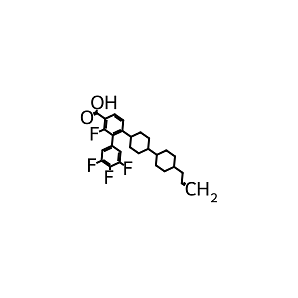 C=CCC1CCC(C2CCC(c3ccc(C(=O)O)c(F)c3-c3cc(F)c(F)c(F)c3)CC2)CC1